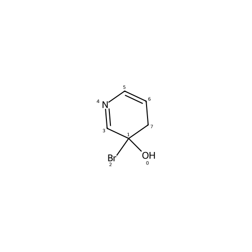 OC1(Br)C=NC=CC1